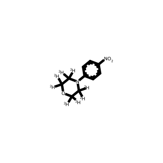 [2H]C1([2H])OC([2H])([2H])C([2H])([2H])N(c2ccc([N+](=O)[O-])cc2)C1([2H])[2H]